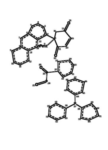 CCCCCC1(c2cccc3cc4ccccc4cc23)CC(=O)C=CC1=O.O=PC(=O)c1ccccc1.c1ccc(P(c2ccccc2)c2ccccc2)cc1